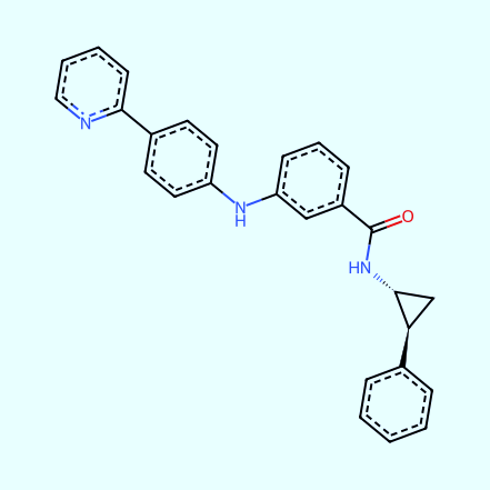 O=C(N[C@@H]1C[C@H]1c1ccccc1)c1cccc(Nc2ccc(-c3ccccn3)cc2)c1